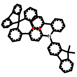 CC1(C)c2ccccc2-c2ccc(N(c3ccc4c(c3)-c3ccccc3C3(c5ccccc5-4)c4ccccc4-c4ccccc43)c3ccccc3-c3ccccc3)cc21